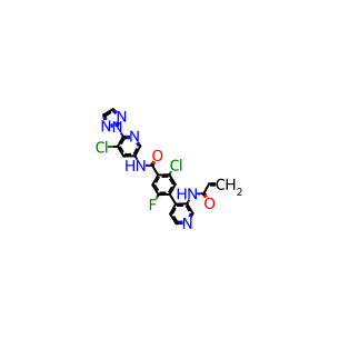 C=CC(=O)Nc1cnccc1-c1cc(Cl)c(C(=O)Nc2cnc(-n3nccn3)c(Cl)c2)cc1F